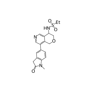 CCS(=O)(=O)NC1COCc2c(-c3ccc4c(c3)CC(=O)N4C)cncc21